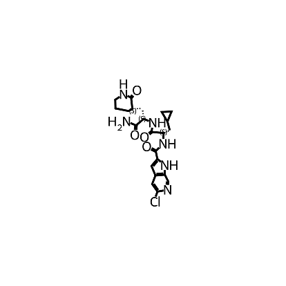 NC(=O)[C@H](C[C@@H]1CCCNC1=O)NC(=O)[C@H](CC1CC1)NC(=O)c1cc2cc(Cl)ncc2[nH]1